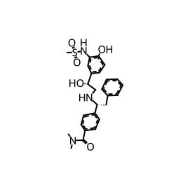 CN(C)C(=O)c1ccc([C@@H](Cc2ccccc2)NC[C@H](O)c2ccc(O)c(NS(C)(=O)=O)c2)cc1